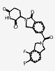 O=C1CCC(N2Cc3cc(C(=O)N4Cc5ccc(F)c(F)c5C4)ccc3C2=O)C(=O)N1